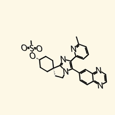 Cc1cccc(-c2nc3n(c2-c2ccc4nccnc4c2)CC[C@]32CC[C@@H](OS(C)(=O)=O)CC2)n1